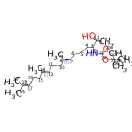 C=C(O)C(CCC/C=C(\C)CC/C=C(\C)CCC=C(C)C)NC(=O)OC(C)(C)C